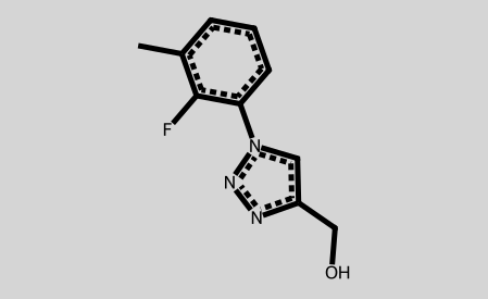 Cc1cccc(-n2cc(CO)nn2)c1F